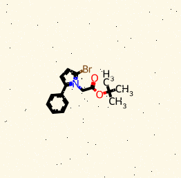 CC(C)(C)OC(=O)Cn1c(Br)ccc1-c1ccccc1